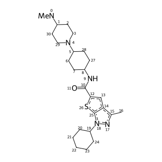 CNC1CCN(C2CCC(NC(=O)c3cc4c(C)nn(C5CCCCC5)c4s3)CC2)CC1